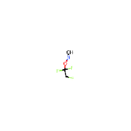 [CH]=NOC(F)(F)CF